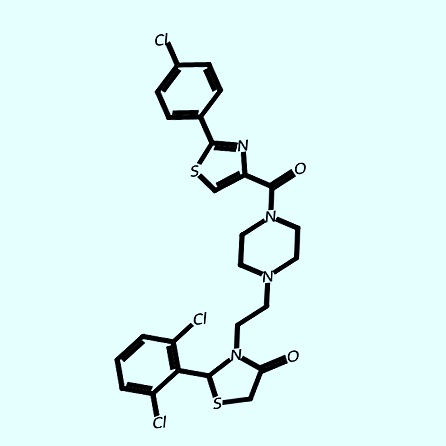 O=C(c1csc(-c2ccc(Cl)cc2)n1)N1CCN(CCN2C(=O)CSC2c2c(Cl)cccc2Cl)CC1